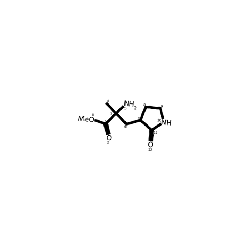 COC(=O)C(C)(N)CC1CCNC1=O